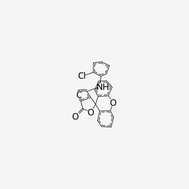 O=C1OC2(c3ccccc3Oc3ccccc32)c2c(Nc3ccccc3Cl)cccc21